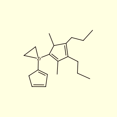 CCCC1=C(CCC)C(C)[C]([Zr]2([C]3=CC=CC3)[CH2][CH2]2)=C1C